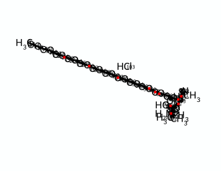 COCCOCCOCCOCCOCCOCCOCCOCCOCCOCCOCCOCCOCCOCCOCCOCCOCCOCCOCCOCCOCCOCCOCC(=O)OCc1cc(-c2scnc2C)ccc1CNC(=O)[C@@H]1C[C@@H](O)CN1C(=O)[C@@H](N)C(C)(C)C.Cl